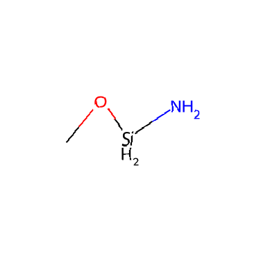 CO[SiH2]N